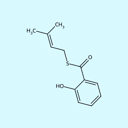 CC(C)=CCSC(=O)c1ccccc1O